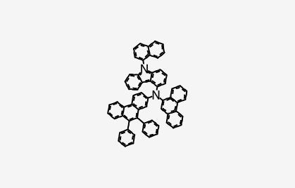 c1ccc(-c2c(-c3ccccc3)c3cc(N(c4cc5ccccc5c5ccccc45)c4cccc5c4c4ccccc4n5-c4cccc5ccccc45)ccc3c3ccccc23)cc1